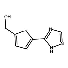 OCc1ccc(-c2ncn[nH]2)s1